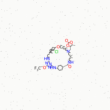 Cc1oc(=O)oc1CN1CCCOc2ccc(cc2Cl)CNc2nc(nc(OCC(F)(F)F)n2)Nc2ccc(cc2)C(=O)NCC(C)(C)C1